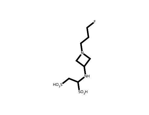 O=S(=O)(O)CC(NC1CN(CCCF)C1)S(=O)(=O)O